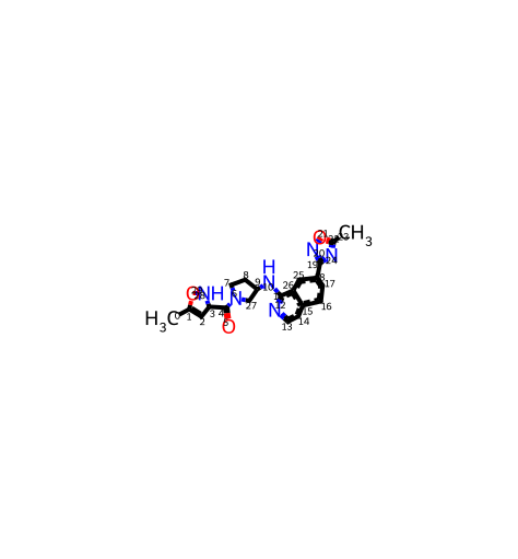 CC1=CC(C(=O)N2CCC(Nc3nccc4ccc(-c5noc(C)n5)cc34)C2)NO1